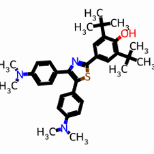 CN(C)c1ccc(-c2nc(-c3cc(C(C)(C)C)c(O)c(C(C)(C)C)c3)sc2-c2ccc(N(C)C)cc2)cc1